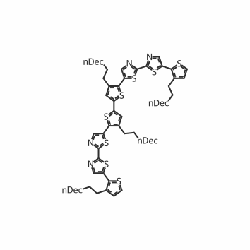 CCCCCCCCCCCCc1ccsc1-c1cnc(-c2ncc(-c3sc(-c4cc(CCCCCCCCCCCC)c(-c5cnc(-c6ncc(-c7sccc7CCCCCCCCCCCC)s6)s5)s4)cc3CCCCCCCCCCCC)s2)s1